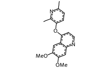 COc1cc2nccc(Oc3ccc(C)nc3C)c2cc1OC